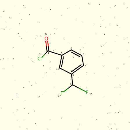 O=C(Cl)c1cccc(C(F)F)c1